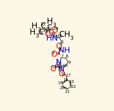 C[C@H](CONC(=O)[C@@H]1CCC2CN1C(=O)N2OCc1ccccc1)NC(=O)OC(C)(C)C